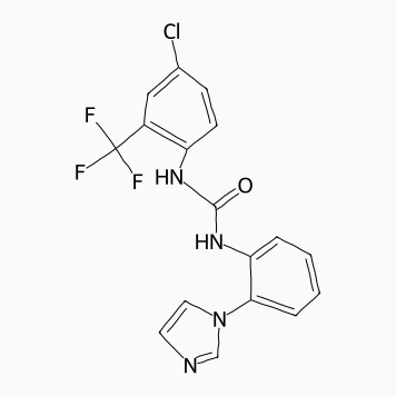 O=C(Nc1ccccc1-n1ccnc1)Nc1ccc(Cl)cc1C(F)(F)F